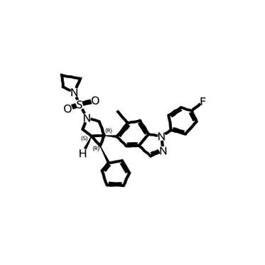 Cc1cc2c(cnn2-c2ccc(F)cc2)cc1[C@]12CN(S(=O)(=O)N3CCC3)C[C@H]1[C@@H]2c1ccccc1